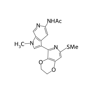 CSc1cc2c(c(-c3cn(C)c4cnc(NC(C)=O)cc34)n1)OCCO2